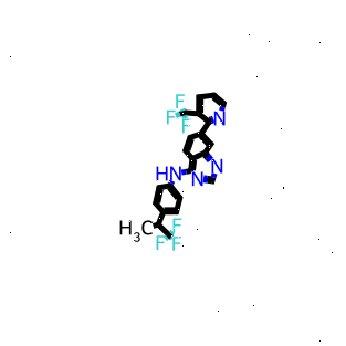 CC(c1ccc(Nc2ncnc3cc(-c4ncccc4C(F)(F)F)ccc23)cc1)C(F)(F)F